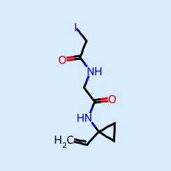 C=CC1(NC(=O)CNC(=O)CI)CC1